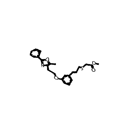 COC(=O)CSCCCc1cccc(OCCc2nc(-c3ccccc3)oc2C)c1